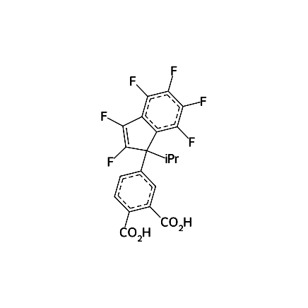 CC(C)C1(c2ccc(C(=O)O)c(C(=O)O)c2)C(F)=C(F)c2c(F)c(F)c(F)c(F)c21